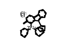 C=c1ccc2c([c]1[Zr+2]([c]1ccccc1)[c]1ccccc1)C(C1=CC=CC1)=c1ccccc1=2.[Cl-].[Cl-]